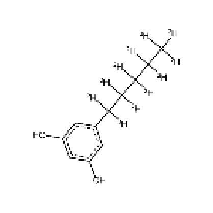 [2H]C([2H])([2H])C([2H])([2H])C([2H])([2H])C([2H])([2H])C([2H])([2H])c1cc(O)cc(O)c1